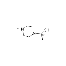 C[C@H](S)N1CCN(C)CC1